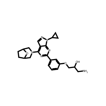 NCC(O)COc1cccc(-c2nc(N3CC4CCC(C3)O4)c3cnn(C4CC4)c3n2)c1